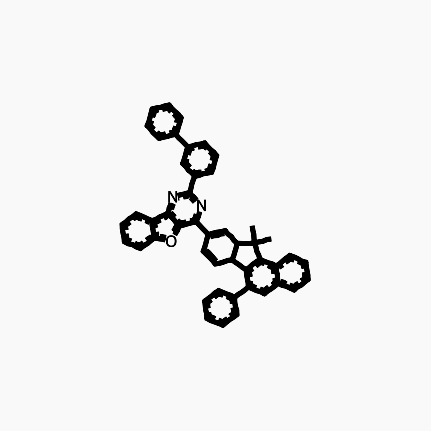 CC1(C)c2c(c(-c3ccccc3)cc3ccccc23)C2C=CC(c3nc(-c4cccc(-c5ccccc5)c4)nc4c3oc3ccccc34)=CC21